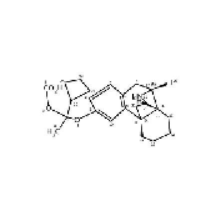 CC(OC(=O)O)(Oc1ccc2c(c1)[C@@]13CCCC[C@H]1[C@@H](C2)NCC3)C1CCC1